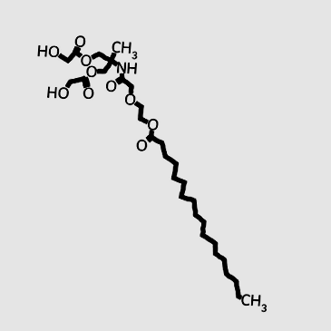 CCCCCCCCCCCCCCCCCC(=O)OCCOCC(=O)NC(C)(COC(=O)CO)COC(=O)CO